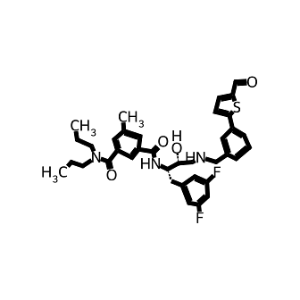 CCCN(CCC)C(=O)c1cc(C)cc(C(=O)N[C@@H](Cc2cc(F)cc(F)c2)[C@H](O)CNCc2cccc(-c3ccc(C=O)s3)c2)c1